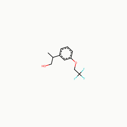 C[C](CO)c1cccc(OCC(F)(F)F)c1